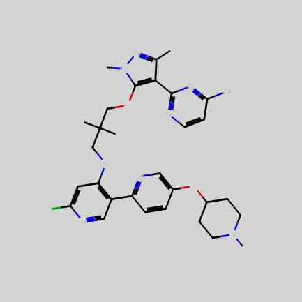 Cc1nn(C)c(OCC(C)(C)CNc2cc(Cl)ncc2-c2ccc(OC3CCN(C)CC3)cn2)c1-c1nccc(N)n1